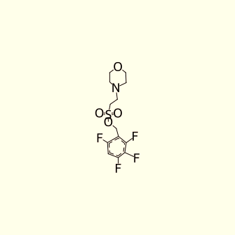 O=S(=O)(CCN1CCOCC1)OCc1c(F)cc(F)c(F)c1F